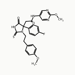 COc1ccc(CCN2C(=S)NC(=O)C2(CC(=O)Nc2cnc(OC)nc2)c2ccc(F)cc2)cc1